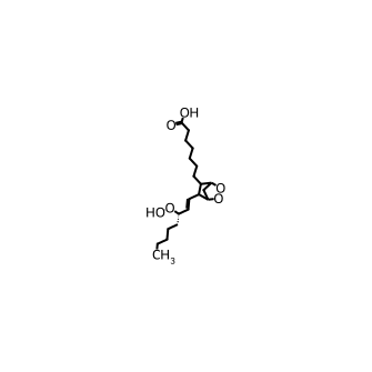 CCCCC[C@@H](/C=C/C1C2CC(OO2)C1CCCCCCC(=O)O)OO